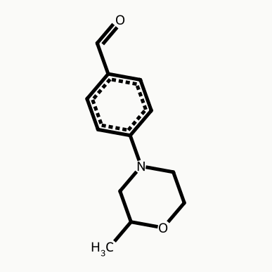 CC1CN(c2ccc(C=O)cc2)CCO1